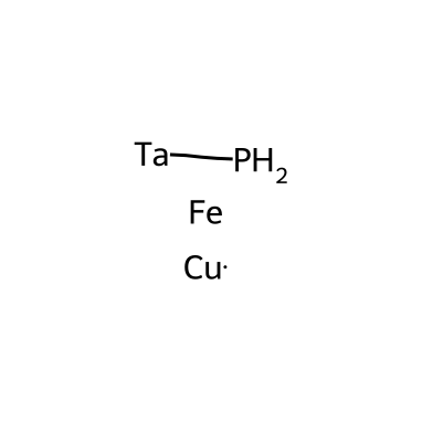 [Cu].[Fe].[PH2][Ta]